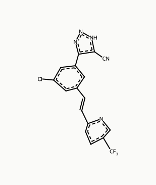 N#Cc1[nH]nnc1-c1cc(Cl)cc(/C=C/c2ccc(C(F)(F)F)cn2)c1